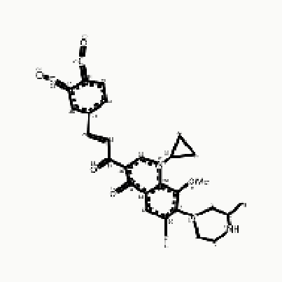 COc1c(N2CCNC(C)C2)c(F)cc2c(=O)c(C(=O)/C=C/c3ccc(=C=O)c(=C=O)c3)cn(C3CC3)c12